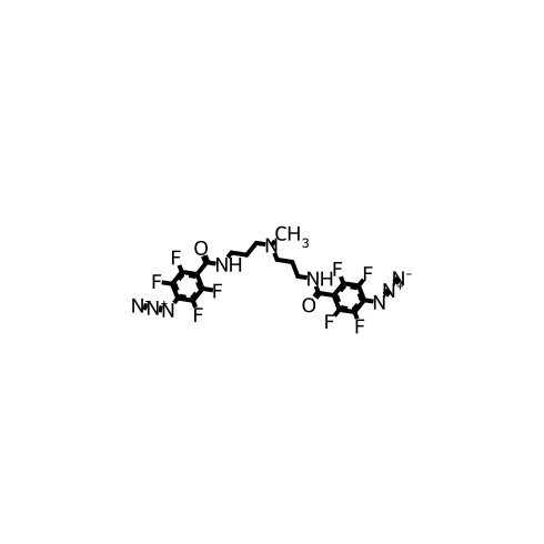 CN(CCCNC(=O)c1c(F)c(F)c(N=[N+]=[N-])c(F)c1F)CCCNC(=O)c1c(F)c(F)c(N=[N+]=[N-])c(F)c1F